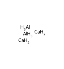 [AlH3].[AlH3].[CaH2].[CaH2]